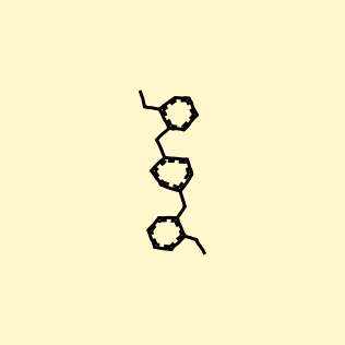 CCc1ccccc1Cc1ccc(Cc2ccccc2CC)cc1